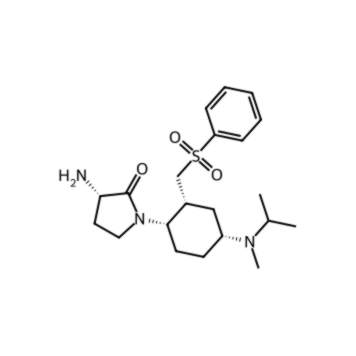 CC(C)N(C)[C@@H]1CC[C@H](N2CC[C@H](N)C2=O)[C@H](CS(=O)(=O)c2ccccc2)C1